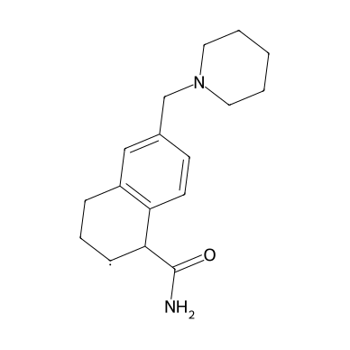 NC(=O)C1[CH]CCc2cc(CN3CCCCC3)ccc21